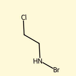 ClCCNBr